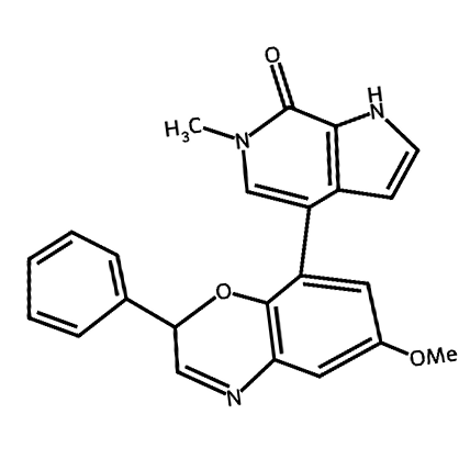 COc1cc2c(c(-c3cn(C)c(=O)c4[nH]ccc34)c1)OC(c1ccccc1)C=N2